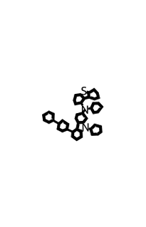 c1ccc(-c2ccc(-c3cccc4c3c3ccc(N(c5ccccc5)c5cccc6sc7ccccc7c56)cc3n4-c3ccccc3)cc2)cc1